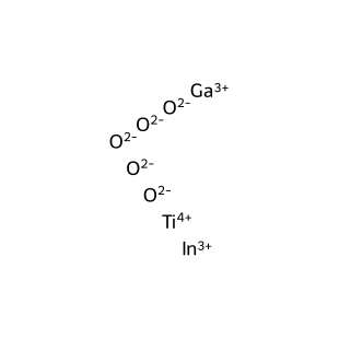 [Ga+3].[In+3].[O-2].[O-2].[O-2].[O-2].[O-2].[Ti+4]